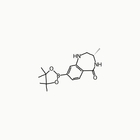 C[C@H]1CNc2cc(B3OC(C)(C)C(C)(C)O3)ccc2C(=O)N1